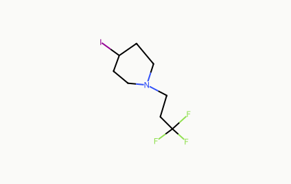 FC(F)(F)CCN1CCC(I)CC1